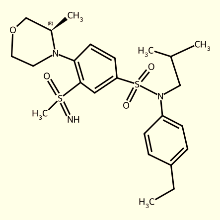 CCc1ccc(N(CC(C)C)S(=O)(=O)c2ccc(N3CCOC[C@H]3C)c(S(C)(=N)=O)c2)cc1